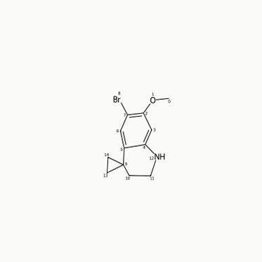 COc1cc2c(cc1Br)C1(CCN2)CC1